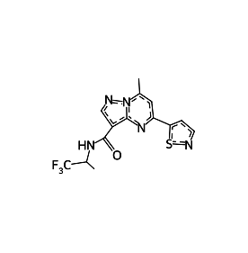 Cc1cc(-c2ccns2)nc2c(C(=O)NC(C)C(F)(F)F)cnn12